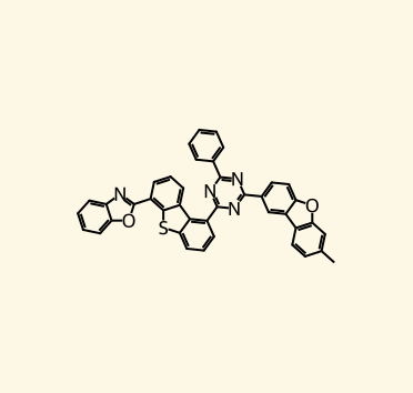 Cc1ccc2c(c1)oc1ccc(-c3nc(-c4ccccc4)nc(-c4cccc5sc6c(-c7nc8ccccc8o7)cccc6c45)n3)cc12